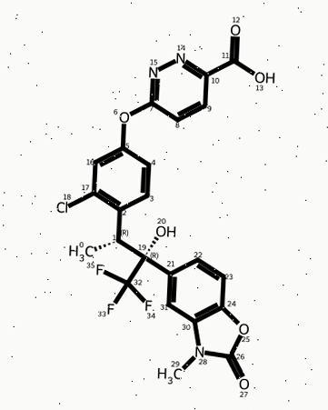 C[C@H](c1ccc(Oc2ccc(C(=O)O)nn2)cc1Cl)[C@@](O)(c1ccc2oc(=O)n(C)c2c1)C(F)(F)F